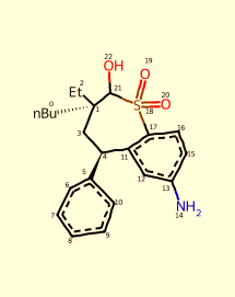 CCCC[C@@]1(CC)C[C@H](c2ccccc2)c2cc(N)ccc2S(=O)(=O)C1O